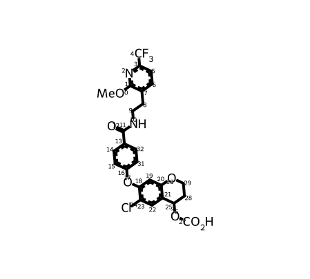 COc1nc(C(F)(F)F)ccc1CCNC(=O)c1ccc(Oc2cc3c(cc2Cl)C(OC(=O)O)CCO3)cc1